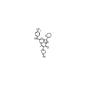 CC(=O)N1CCN(c2c(C)n(CC(=O)Nc3ccc(C(F)(F)F)cc3)c3nc(C4=CCCCO4)nn3c2=O)CC1